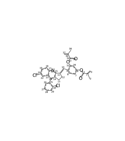 C=C(C)C(=O)Oc1ccc(C=C2CCc3c2nc2ccc(Cl)cc2c3-c2ccccc2Cl)c(OC(=O)C(=C)C)c1